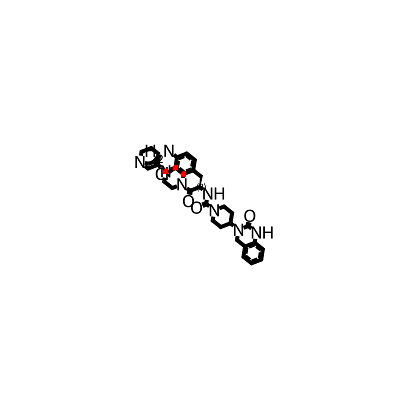 Nc1ccc(C[C@@H](NC(=O)N2CCC(N3Cc4ccccc4NC3=O)CC2)C(=O)N2CCN(C3CN4CCC3CC4)CC2)cc1Cl